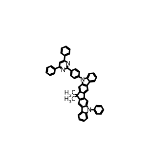 CC1(C)c2cc3c4ccccc4n(-c4ccccc4)c3cc2-c2cc3c4ccccc4n(-c4ccc(-c5nc(-c6ccccc6)cc(-c6ccccc6)n5)cc4)c3cc21